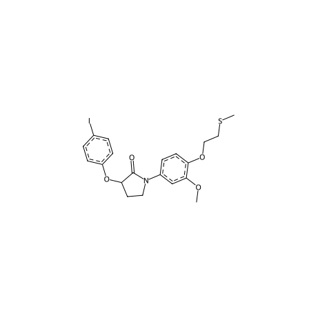 COc1cc(N2CCC(Oc3ccc(I)cc3)C2=O)ccc1OCCSC